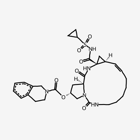 O=C1N[C@]2(C(=O)NS(=O)(=O)C3CC3)C[C@H]2/C=C\CCCCCNC(=O)N2C[C@H](OC(=O)N3CCc4ccccc4C3)C[C@@H]12